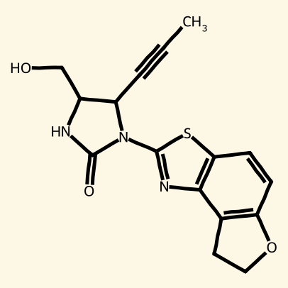 CC#CC1C(CO)NC(=O)N1c1nc2c3c(ccc2s1)OCC3